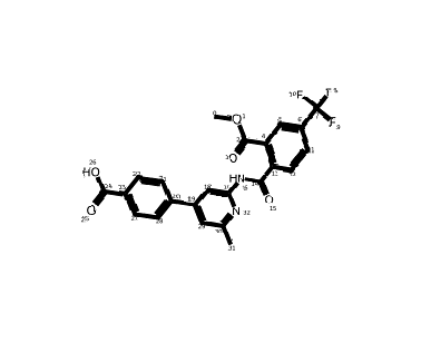 COC(=O)c1cc(C(F)(F)F)ccc1C(=O)Nc1cc(-c2ccc(C(=O)O)cc2)cc(C)n1